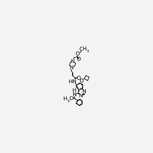 CCOC(=O)CN1CCN(CC=CC(=O)Nc2cc3c(N[C@H](C)c4ccccc4)ncnc3cc2OC2CCC2)CC1